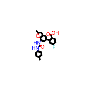 Cc1ccc(NC(=O)Nc2cc(-c3cc(F)ccc3C(=O)O)cc3c2OC(C)C3)cc1